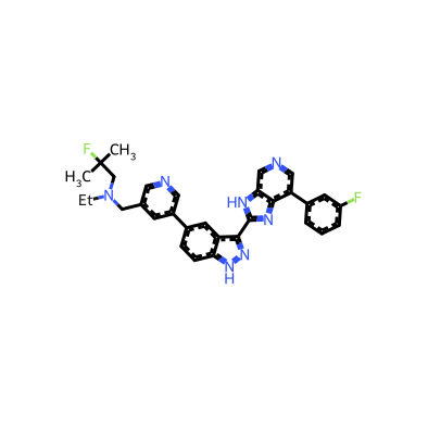 CCN(Cc1cncc(-c2ccc3[nH]nc(-c4nc5c(-c6cccc(F)c6)cncc5[nH]4)c3c2)c1)CC(C)(C)F